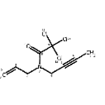 C=CCN(CC#CC)C(=O)C(Cl)(Cl)Cl